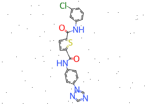 O=C(Nc1ccc(-n2cncn2)cc1)c1ccc(C(=O)Nc2cccc(Cl)c2)s1